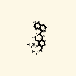 COc1ccc2c(c1OC)CC[N]C(c1nccc3ccccc13)C2